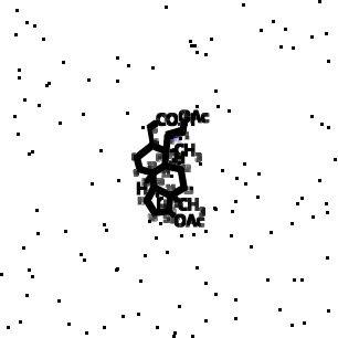 CC(=O)O/C=C/[C@]1(C)[C@H](CC(=O)O)CC[C@@H]2[C@@H]1CC[C@]1(C)[C@@H](OC(C)=O)CC[C@@H]21